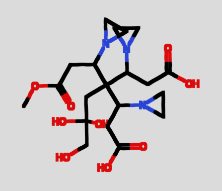 COC(=O)CC(N1CC1)C(CC(O)(O)CO)(C(CC(=O)O)N1CC1)C(CC(=O)O)N1CC1